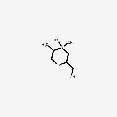 CC(C)[N+]1(C)CC(CO)OCC1C